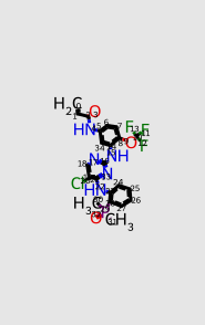 C=CC(=O)Nc1ccc(OC(F)(F)F)c(Nc2ncc(Cl)c(Nc3ccccc3P(C)(C)=O)n2)c1